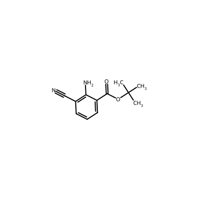 CC(C)(C)OC(=O)c1cccc(C#N)c1N